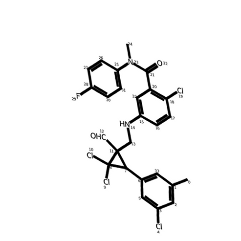 Cc1cc(Cl)cc(C2C(Cl)(Cl)C2(C=O)CNc2ccc(Cl)c(C(=O)N(C)c3ccc(F)cc3)c2)c1